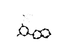 Cc1cc(OP(C)(=O)O)cc(-c2ccc3ccccc3c2)c1